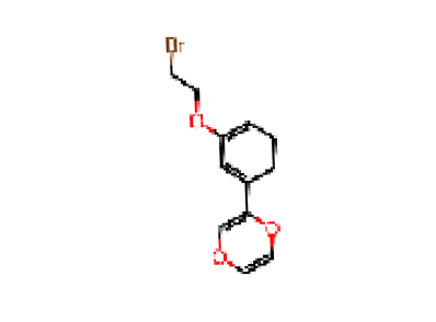 BrCCOC1=CCCC(C2=COC=CO2)=C1